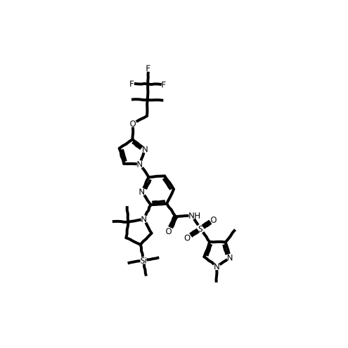 Cc1nn(C)cc1S(=O)(=O)NC(=O)c1ccc(-n2ccc(OCC(C)(C)C(F)(F)F)n2)nc1N1CC([Si](C)(C)C)CC1(C)C